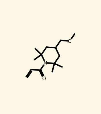 C=CC(=O)N1C(C)(C)CC(COC)CC1(C)C